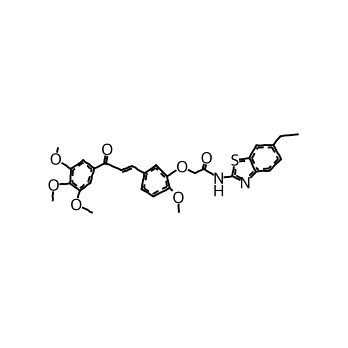 CCc1ccc2nc(NC(=O)COc3cc(/C=C/C(=O)c4cc(OC)c(OC)c(OC)c4)ccc3OC)sc2c1